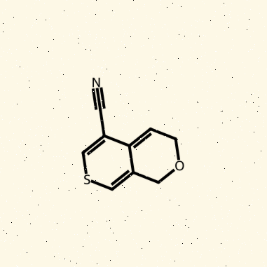 N#CC1=CSC=C2COCC=C12